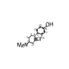 CNC1CCC(c2ccc(O)cc2)CC1.Cl